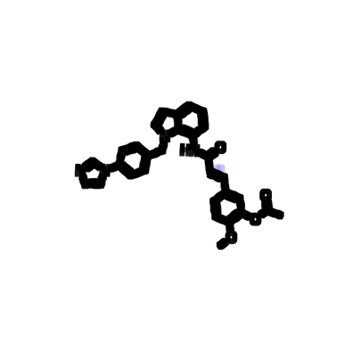 COc1ccc(/C=C/C(=O)Nc2cccc3ccn(Cc4ccc(-n5ccnc5)cc4)c23)cc1OC(C)=O